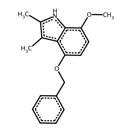 COc1ccc(OCc2ccccc2)c2c(C)c(C)[nH]c12